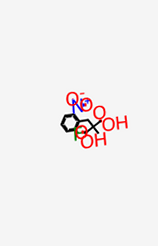 CC(Cc1c(F)cccc1[N+](=O)[O-])(C(=O)O)C(=O)O